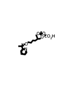 CC(=NOCCCCC1COC(C)(OC(=O)O)OC1)c1ccccn1